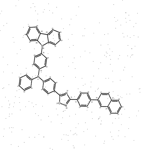 c1ccc(N(c2ccc(-c3nc(-c4ccc(-c5ccc6ccccc6c5)cc4)no3)cc2)c2ccc(-n3c4ccccc4c4ccccc43)cc2)cc1